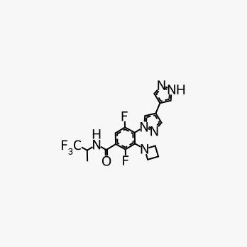 CC(NC(=O)c1cc(F)c(-n2cc(-c3cn[nH]c3)cn2)c(N2CCC2)c1F)C(F)(F)F